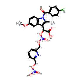 COc1ccc2c(c1)c(C(O[N+](=O)OCc1cccc(CO[N+](=O)[O-])n1)C(=O)O)c(C)n2C(=O)c1ccc(Cl)cc1